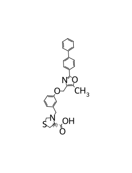 Cc1oc(-c2ccc(-c3ccccc3)cc2)nc1COc1cccc(CN2CSC[C@H]2C(=O)O)c1